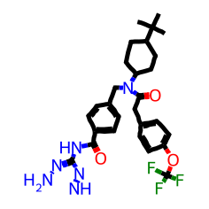 CC(C)(C)C1CCC(N(Cc2ccc(C(=O)N/C(N=N)=N/N)cc2)C(=O)Cc2ccc(OC(F)(F)F)cc2)CC1